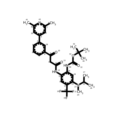 Cc1cc(-c2cccc(C(=O)CC(=O)Nc3cc(C(F)(F)F)c(N(C)C(C)C)cc3NC(=O)OC(C)(C)C)c2)cc(C)n1